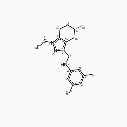 Cc1cc(Br)cc(NCc2nn(SF)c3c2C[C@@H](C)CC3)c1